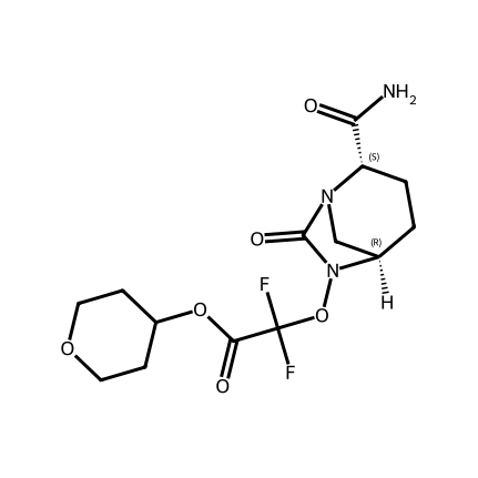 NC(=O)[C@@H]1CC[C@@H]2CN1C(=O)N2OC(F)(F)C(=O)OC1CCOCC1